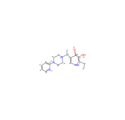 CCc1[nH]cc(C(C)N2CCN(c3ccccn3)CC2)c(=O)c1O